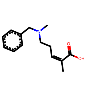 CC(=CCCN(C)Cc1ccccc1)C(=O)O